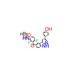 CCCS(=O)(=O)Nc1ccc(F)c(C(=O)c2ccc3[nH]c4ncc(-c5ccc(O)cc5)cc4c3c2)c1F